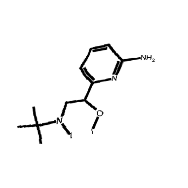 CC(C)(C)N(I)CC(OI)c1cccc(N)n1